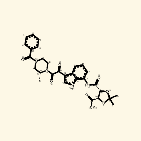 COC(=O)[C@@H]1OC(C)(C)O[C@H]1C(=O)Nc1cccc2c(C(=O)C(=O)N3CCN(C(=O)c4ccccc4)C[C@H]3C)c[nH]c12